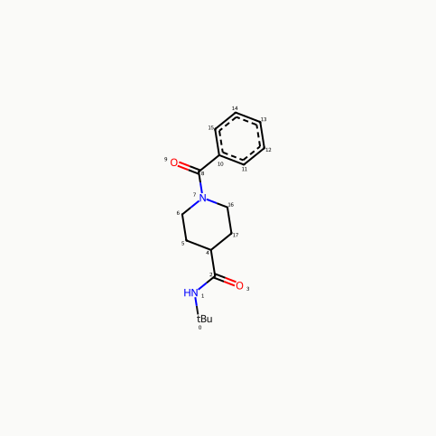 CC(C)(C)NC(=O)C1CCN(C(=O)c2ccccc2)CC1